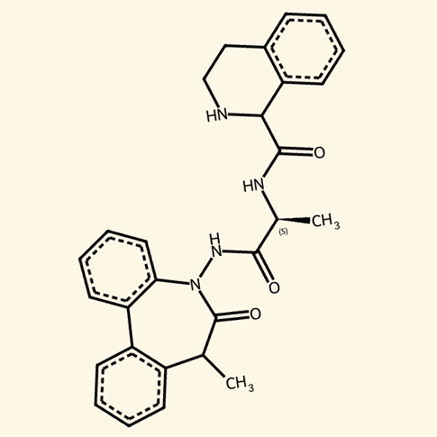 CC1C(=O)N(NC(=O)[C@H](C)NC(=O)C2NCCc3ccccc32)c2ccccc2-c2ccccc21